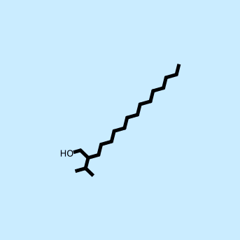 CCCCCCCCCCCCCCC(CO)[C](C)C